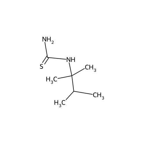 CC(C)C(C)(C)NC(N)=S